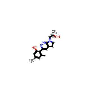 Cc1cc(C(F)(F)F)cc(O)c1-c1cc2c(nn1)N(C[C@@H](O)C(F)(F)F)CC2